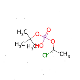 CC(Cl)OP(=O)(O)OC(C)(C)C